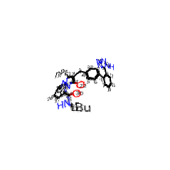 CCCc1c(Cc2ccc(-c3ccccc3-c3nnn[nH]3)cc2)c(=O)n2n1C1CCC2(C(=O)NC(C)(C)C)CC1